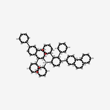 c1ccc(-c2ccc3c(-c4ccccc4)c(N(c4ccccc4)c4ccc(-c5ccc6c(ccc7ccccc76)c5)c(-c5ccccc5)c4-c4ccccc4)ccc3c2)cc1